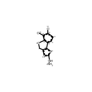 NNc1nc2c(s1)COc1c-2ccc(Cl)c1Cl